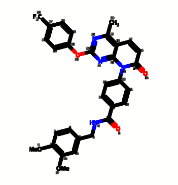 COc1ccc(CNC(=O)c2ccc(-n3c(=O)ccc4c(C)nc(Oc5ccc(C(F)(F)F)cc5)nc43)cc2)cc1OC